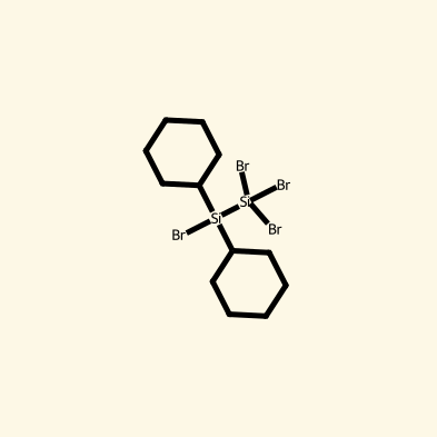 Br[Si](Br)(Br)[Si](Br)(C1CCCCC1)C1CCCCC1